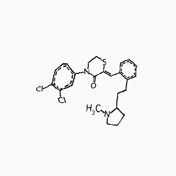 CN1CCCC1CCc1ccccc1C=C1SCCN(c2ccc(Cl)c(Cl)c2)C1=O